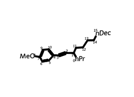 [CH2]CCC(C#Cc1ccc(OC)cc1)CCCCCCCCCCCCCC